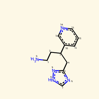 NCCC(Cc1nc[nH]n1)c1cccnc1